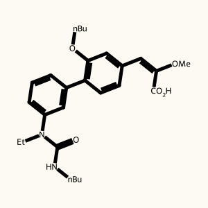 CCCCNC(=O)N(CC)c1cccc(-c2ccc(C=C(OC)C(=O)O)cc2OCCCC)c1